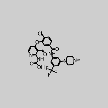 CN1CCN(c2cc(NC(=O)c3ccc(Cl)c(Oc4ccnc(NC(=O)O)c4C=O)c3)cc(C(F)(F)F)c2)CC1